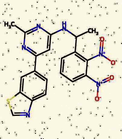 Cc1nc(NC(C)c2cccc([N+](=O)[O-])c2[N+](=O)[O-])cc(-c2ccc3ncsc3c2)n1